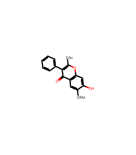 COc1cc2c(=O)c(-c3ccccc3)c(OC(C)=O)oc2cc1O